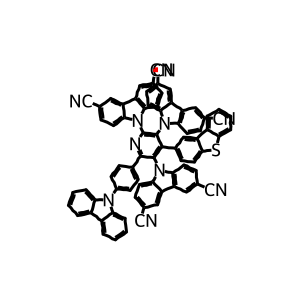 N#Cc1ccc2c(c1)c1cc(C#N)ccc1n2-c1nc(-c2ccc(-n3c4ccccc4c4ccccc43)cc2)c(-n2c3ccc(C#N)cc3c3cc(C#N)ccc32)c(-c2ccc3sc4ccccc4c3c2)c1-n1c2ccc(C#N)cc2c2cc(C#N)ccc21